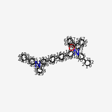 c1ccc(-c2ccc(N(c3ccc(-c4ccc(-c5ccc(-c6ccc7c(c6)c6ccccc6n7-c6ccc(-c7ccccc7)cc6)cc5)cc4)cc3)c3cc4ccccc4c4c3oc3ccccc34)cc2)cc1